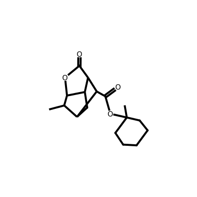 CC1C2CC3C1OC(=O)C3C2C(=O)OC1(C)CCCCC1